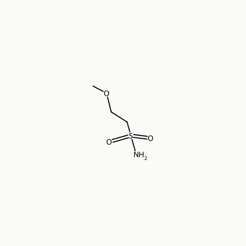 COCCS(N)(=O)=O